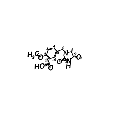 COc1ccc(CN2CC(=O)NC2=O)cc1C(=O)O